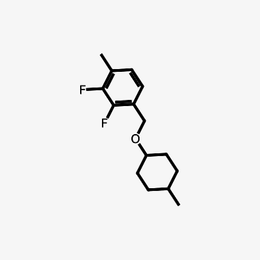 Cc1ccc(COC2CCC(C)CC2)c(F)c1F